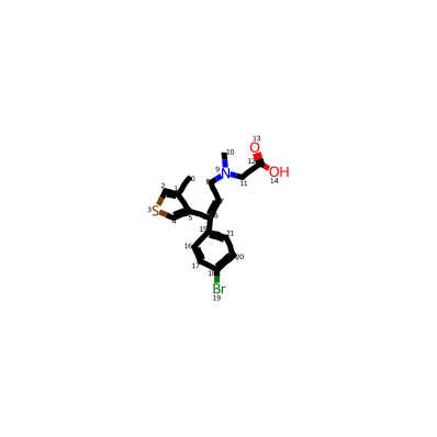 Cc1cscc1C(=CCN(C)CC(=O)O)c1ccc(Br)cc1